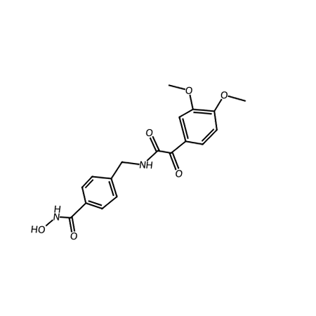 COc1ccc(C(=O)C(=O)NCc2ccc(C(=O)NO)cc2)cc1OC